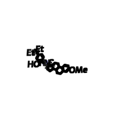 CCN(CC)c1ccc(/C=N/[C@H]2CCC3C4CCc5cc(OC)ccc5C4CC[C@@]32C)c(O)c1